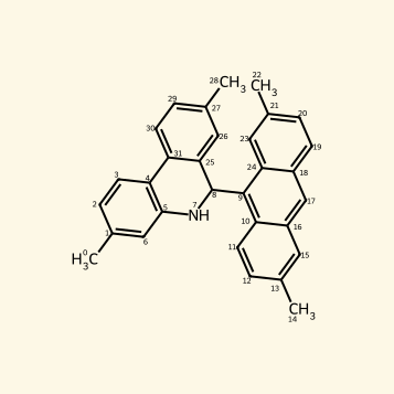 Cc1ccc2c(c1)NC(c1c3ccc(C)cc3cc3ccc(C)cc13)c1cc(C)ccc1-2